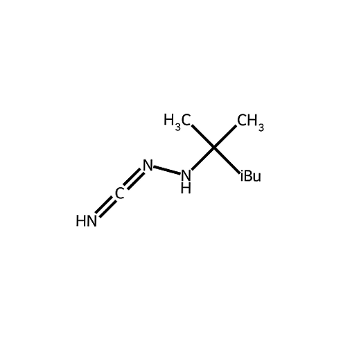 CCC(C)C(C)(C)NN=C=N